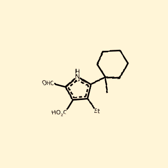 CCc1c(C2(C)CCCCC2)[nH]c(C=O)c1C(=O)O